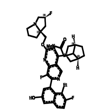 CCc1c(F)ccc2cc(O)cc(-c3ncc4c(N5C[C@H]6CC[C@@H](C5)C6CC(=O)NC)nc(OC[C@@]56CCCN5C[C@H](F)C6)nc4c3F)c12